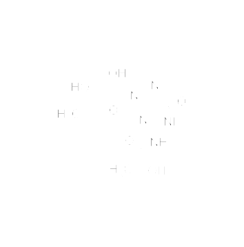 CCC1OC(n2cnc3c(=O)[nH]c(NC(=O)C(C)O)nc32)C(O)C1O